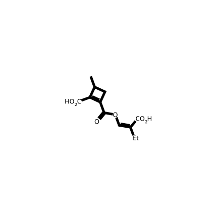 CCC(=COC(=O)C1=C(C(=O)O)C(C)C1)C(=O)O